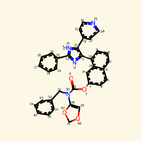 O=C(Oc1ccc2cccc(-c3nc(-c4ccccc4)[nH]c3-c3ccncc3)c2c1)N(Cc1ccccc1)C1=COCO1